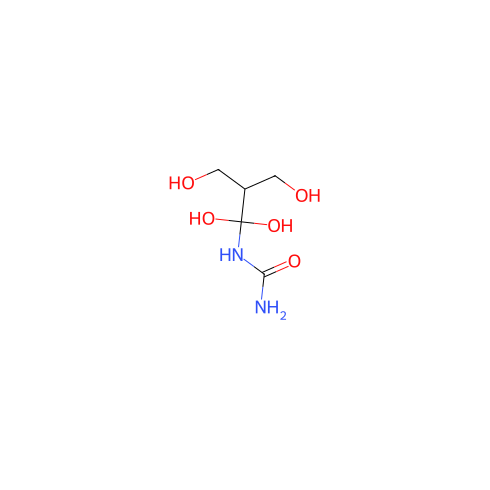 NC(=O)NC(O)(O)C(CO)CO